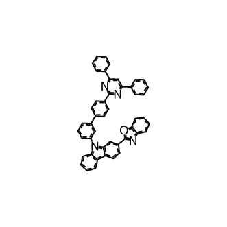 c1ccc(-c2cc(-c3ccccc3)nc(-c3ccc(-c4cccc(-n5c6ccccc6c6ccc(-c7nc8ccccc8o7)cc65)c4)cc3)n2)cc1